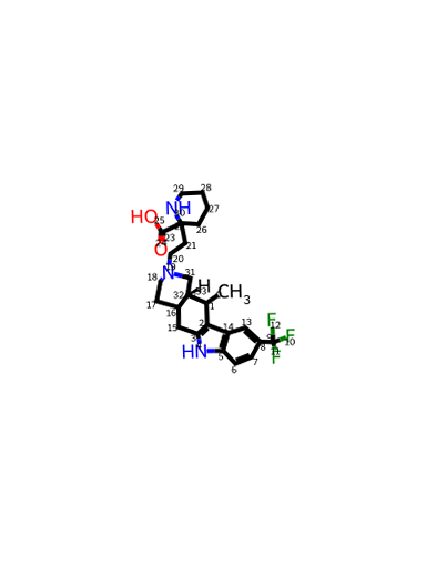 CC1c2c([nH]c3ccc(C(F)(F)F)cc23)CC2CCN(CCC3(C(=O)O)CCCCN3)C[C@@H]21